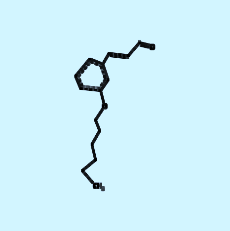 CCCCCCOc1cccc(C=C[C]=O)c1